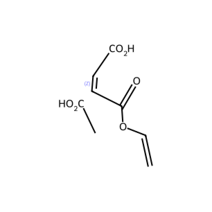 C=COC(=O)/C=C\C(=O)O.CC(=O)O